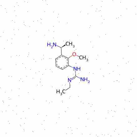 CCN=C(N)Nc1cccc([C@H](C)N)c1OC